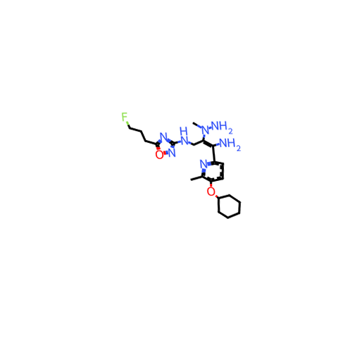 Cc1nc(/C(N)=C(\CNc2noc(CCCF)n2)N(C)N)ccc1OC1CCCCC1